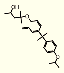 C=C/C=C(\C=C/COC(C)(C)CC(C)O)C(C)(C)c1ccc(OC(C)C)cc1